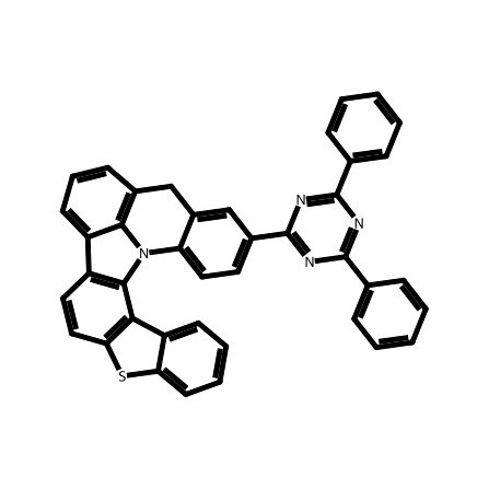 c1ccc(-c2nc(-c3ccccc3)nc(-c3ccc4c(c3)Cc3cccc5c6ccc7sc8ccccc8c7c6n-4c35)n2)cc1